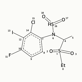 CCS(=O)(=O)C(C)N(c1ccc(F)c(I)c1Cl)[SH](=O)=O